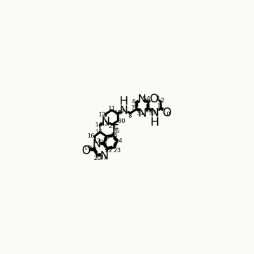 O=C1COc2ncc(CNC3CCN(C[C@@H]4Cn5c(=O)cnc6ccc(F)c4c65)CC3)nc2N1